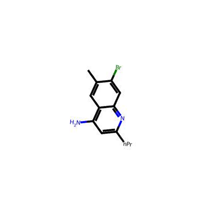 CCCc1cc(N)c2cc(C)c(Br)cc2n1